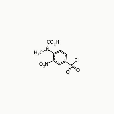 CN(C(=O)O)c1ccc(S(=O)(=O)Cl)cc1[N+](=O)[O-]